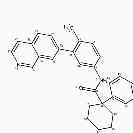 Cc1ccc(NC(=O)C2(c3ccccc3)CCCCC2)cc1-c1ccc2ccncc2c1